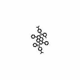 CC1C=C(N(c2ccc(C(C)C)cc2)c2cc(-c3ccccc3)c3ccc4c(N(c5ccccc5)C5C=CC(C(C)C)=CC5)cc(-c5ccccc5)c5ccc2c3c54)C=CC1